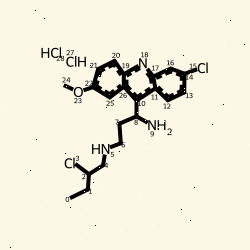 CCC(Cl)CNCCC(N)c1c2ccc(Cl)cc2nc2ccc(OC)cc12.Cl.Cl